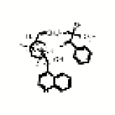 C=C[C@H]1C[N@]2CC[C@H]1C[C@H]2[C@H](O)c1ccnc2ccccc12.CC(S)(C(=O)O)C(=O)c1ccccc1